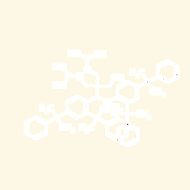 CC(C)(c1ccccc1)c1ccc(OC(c2ccc(C(C)(C)c3ccccc3)cc2C(C)(C)c2ccccc2)C(CO)(COP(O)O)COP(O)O)c(C(C)(C)c2ccccc2)c1